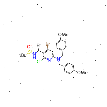 CCC(N[S+]([O-])C(C)(C)C)c1c(Br)cc(N(Cc2ccc(OC)cc2)Cc2ccc(OC)cc2)nc1Cl